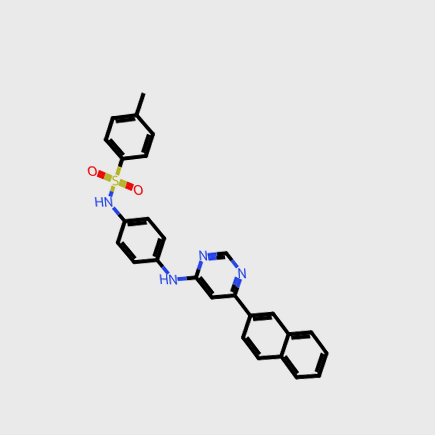 Cc1ccc(S(=O)(=O)Nc2ccc(Nc3cc(-c4ccc5ccccc5c4)ncn3)cc2)cc1